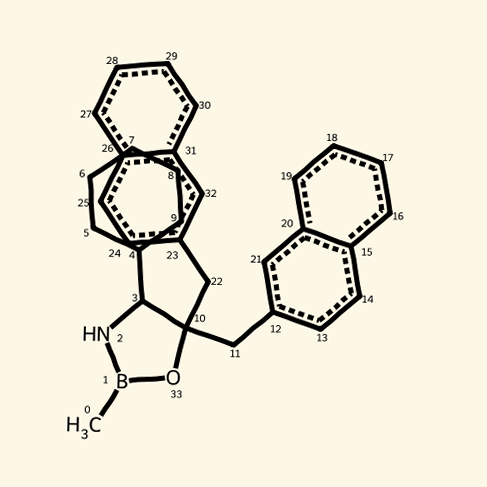 CB1NC(C2CCCCC2)C(Cc2ccc3ccccc3c2)(Cc2ccc3ccccc3c2)O1